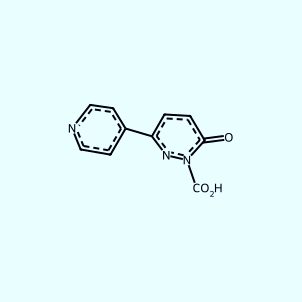 O=C(O)n1nc(-c2ccncc2)ccc1=O